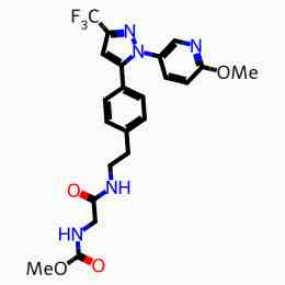 COC(=O)NCC(=O)NCCc1ccc(-c2cc(C(F)(F)F)nn2-c2ccc(OC)nc2)cc1